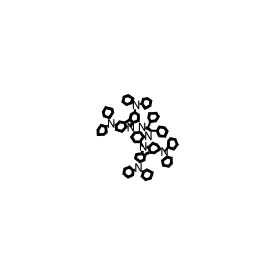 c1ccc(-c2nc3c(-n4c5ccc(N(c6ccccc6)c6ccccc6)cc5c5cc(N(c6ccccc6)c6ccccc6)ccc54)ccc(-n4c5ccc(N(c6ccccc6)c6ccccc6)cc5c5cc(N(c6ccccc6)c6ccccc6)ccc54)c3nc2-c2ccccc2)cc1